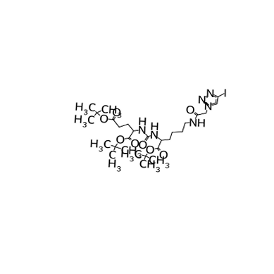 CC(C)(C)OC(=O)CCC(NC(=O)NC(CCCCNC(=O)Cn1cc(I)nn1)C(=O)OC(C)(C)C)C(=O)OC(C)(C)C